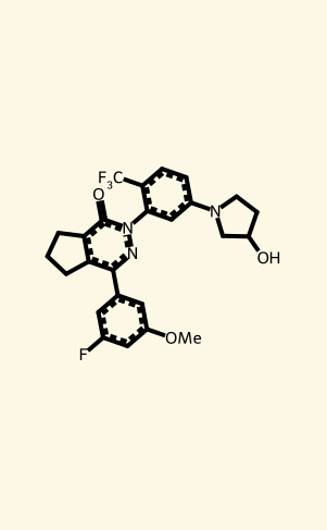 COc1cc(F)cc(-c2nn(-c3cc(N4CCC(O)C4)ccc3C(F)(F)F)c(=O)c3c2CCC3)c1